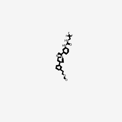 O=COCCc1cccc(-c2ccn3c(-c4cccc(NC(=O)NCC(F)(F)F)c4)cnc3c2)c1